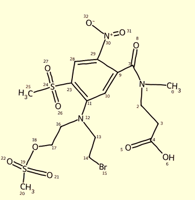 CN(CCC(=O)O)C(=O)c1cc(N(CCBr)CCOS(C)(=O)=O)c(S(C)(=O)=O)cc1[N+](=O)[O-]